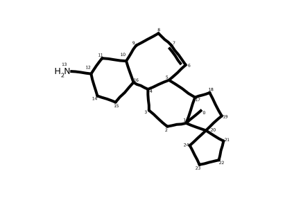 CC12CCC3C(C=CCCC4CC(N)CCC43)C1CCC21CCCC1